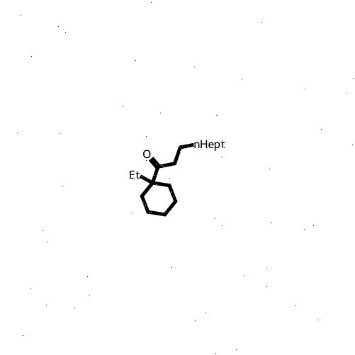 CCCCCCCCCC(=O)C1(CC)CCCCC1